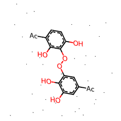 CC(=O)c1cc(O)c(O)c(OOc2c(O)ccc(C(C)=O)c2O)c1